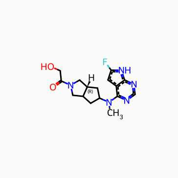 CN(c1ncnc2[nH]c(F)cc12)C1CC2CN(C(=O)CO)C[C@@H]2C1